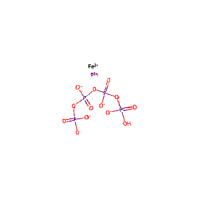 O=P([O-])([O-])OP(=O)([O-])OP(=O)([O-])OP(=O)([O-])O.[Fe+2].[P+3]